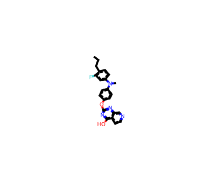 CCCc1ccc(N(C)c2ccc(Oc3nc(O)c4ccncc4n3)cc2)cc1F